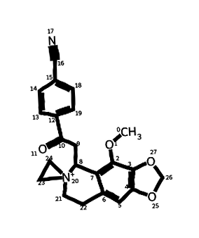 COc1c2c(cc3c1C(CC(=O)c1ccc(C#N)cc1)[N+]1(CC3)CC1)OCO2